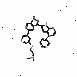 CN(C)CCOc1cncc(-c2cc3c(-c4cc5c(-c6cccnc6)ccnc5[nH]4)n[nH]c3cn2)c1